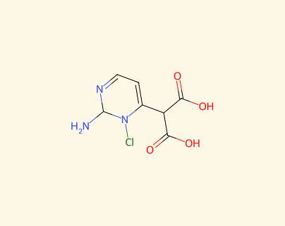 NC1N=CC=C(C(C(=O)O)C(=O)O)N1Cl